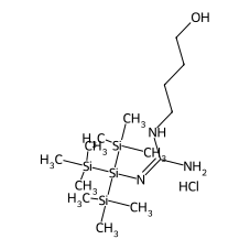 C[Si](C)(C)[Si](N=C(N)NCCCCO)([Si](C)(C)C)[Si](C)(C)C.Cl